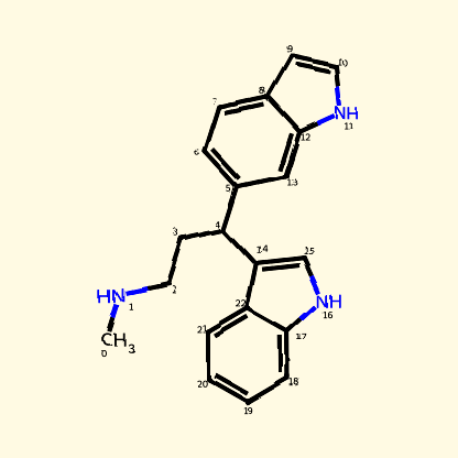 CNCCC(c1ccc2cc[nH]c2c1)c1c[nH]c2ccccc12